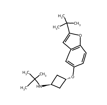 CC(C)(C)N[C@H]1C[C@H](Oc2ccc3oc(C(C)(C)C)cc3c2)C1